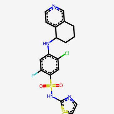 O=S(=O)(Nc1nccs1)c1cc(Cl)c(NC2CCCc3cnccc32)cc1F